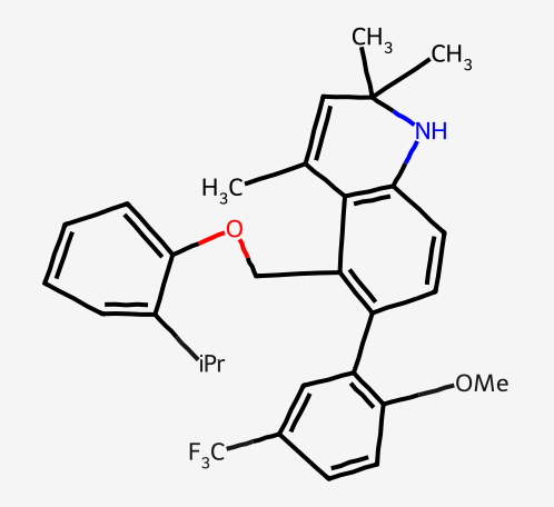 COc1ccc(C(F)(F)F)cc1-c1ccc2c(c1COc1ccccc1C(C)C)C(C)=CC(C)(C)N2